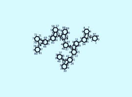 c1ccc(-n2c3ccccc3c3cc(-c4ccc5c(c4)c4ccc(-c6ccc7c8ccccc8n(-c8ccccc8)c7c6)cc4n5-c4cccc(-c5nc(-n6c7ccccc7c7cc(-c8ccc9c(c8)c8ccccc8n9-c8ccccc8)ccc76)c6ccccc6n5)c4)ccc32)cc1